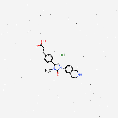 CN1C(=O)N(c2ccc3c(c2)CCNC3)CC1c1ccc(CCC(=O)O)cc1.Cl